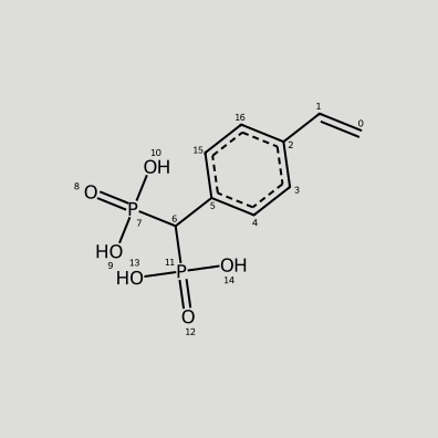 C=Cc1ccc(C(P(=O)(O)O)P(=O)(O)O)cc1